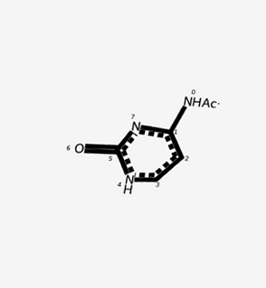 CC(=O)[N]c1cc[nH]c(=O)n1